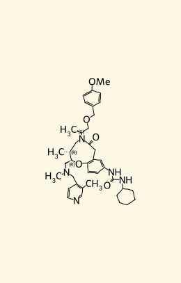 COc1ccc(COC[C@H](C)N2C[C@@H](C)[C@H](CN(C)Cc3ccncc3C)Oc3ccc(NC(=O)NC4CCCCC4)cc3CC2=O)cc1